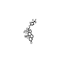 CC12CCC(=O)C=C1CCC1C2[C@@H](O)CC2(C)C1CC[C@]2(O)C(=O)CSc1ccc(C(F)(F)F)cn1